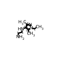 CCn1nc(C)c(NCCN)c1C